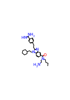 CCCCN(CCN)C(=O)c1ccc2c(c1)nc(CCc1ccc(C(=N)N)cc1)n2CCC1CCCCC1